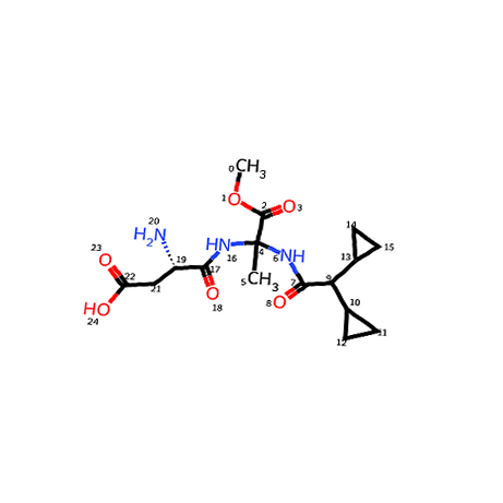 COC(=O)C(C)(NC(=O)C(C1CC1)C1CC1)NC(=O)[C@@H](N)CC(=O)O